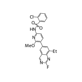 CCc1cc(-c2ccc(NS(=O)(=O)c3ccccc3Cl)nc2OC)cc2cnc(F)nc12